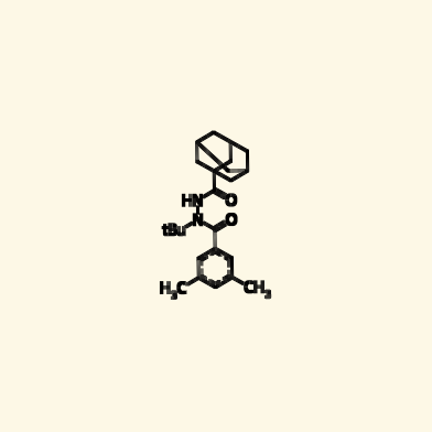 Cc1cc(C)cc(C(=O)N(NC(=O)C23CC4CC(CC(C4)C2)C3)C(C)(C)C)c1